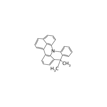 CC1(C)c2ccccc2N2c3c(cccc31)-c1cccc3cccc2c13